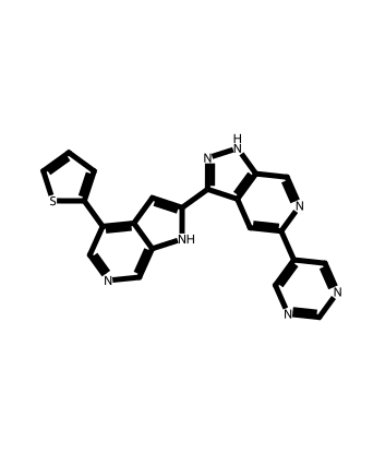 c1csc(-c2cncc3[nH]c(-c4n[nH]c5cnc(-c6cncnc6)cc45)cc23)c1